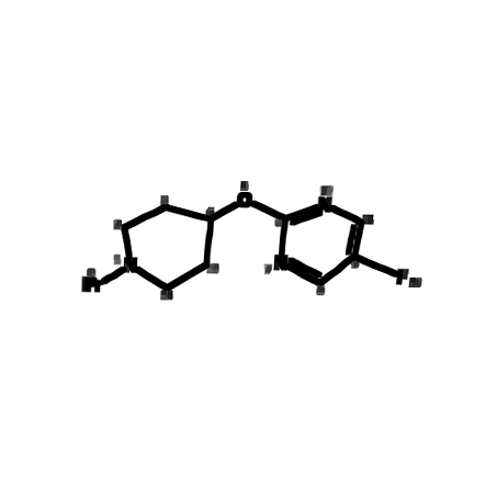 CC(C)N1CCC(Oc2ncc(F)cn2)CC1